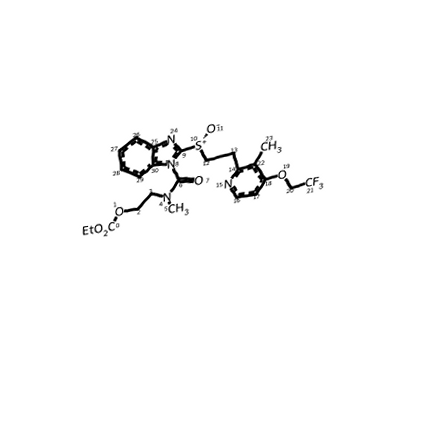 CCOC(=O)OCCN(C)C(=O)n1c([S@+]([O-])CCc2nccc(OCC(F)(F)F)c2C)nc2ccccc21